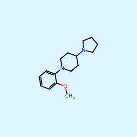 COc1ccccc1N1CCC(N2CCCC2)CC1